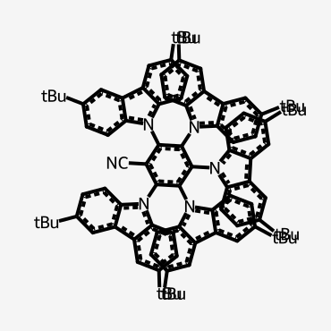 CC(C)(C)c1ccc2c(c1)c1cc(C(C)(C)C)ccc1n2-c1c(C#N)c(-n2c3ccc(C(C)(C)C)cc3c3cc(C(C)(C)C)ccc32)c(-n2c3ccc(C(C)(C)C)cc3c3cc(C(C)(C)C)ccc32)c(-n2c3ccc(C(C)(C)C)cc3c3cc(C(C)(C)C)ccc32)c1-n1c2ccc(C(C)(C)C)cc2c2cc(C(C)(C)C)ccc21